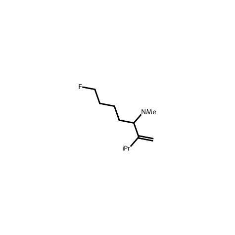 C=C(C(C)C)C(CCCCF)NC